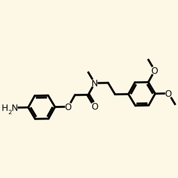 COc1ccc(CCN(C)C(=O)COc2ccc(N)cc2)cc1OC